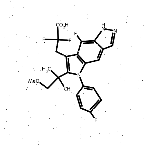 COCC(C)(C)c1c(CC(F)(F)C(=O)O)c2c(F)c3[nH]ncc3cc2n1-c1ccc(F)cc1